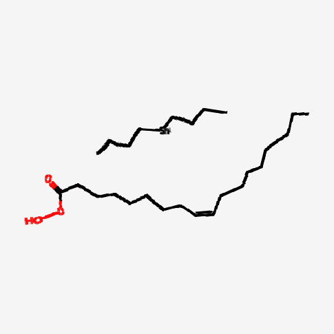 CCCCCCCC/C=C\CCCCCCCC(=O)OO.CCC[CH2][Sn][CH2]CCC